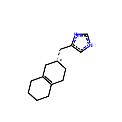 c1nc(C[C@@H]2CCC3=C(CCCC3)C2)c[nH]1